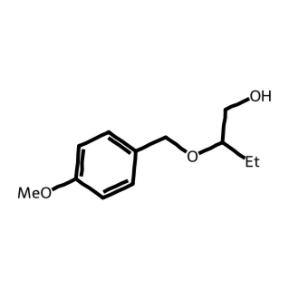 CCC(CO)OCc1ccc(OC)cc1